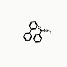 NC(=O)c1ccccc1.c1ccc(-c2ccccc2)cc1